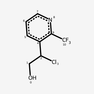 OCC(Cl)c1cccnc1C(F)(F)F